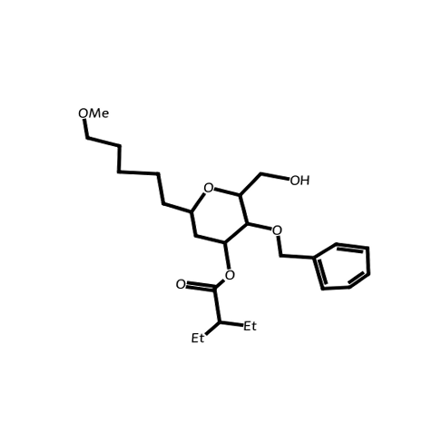 CCC(CC)C(=O)OC1CC(CCCCCOC)OC(CO)C1OCc1ccccc1